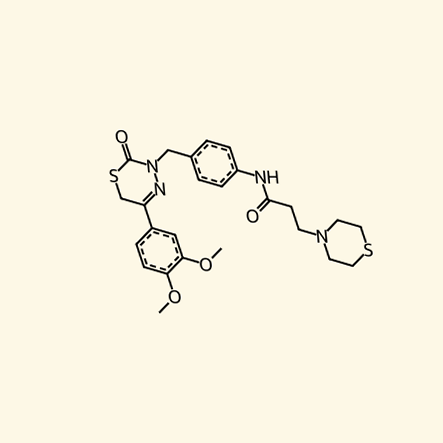 COc1ccc(C2=NN(Cc3ccc(NC(=O)CCN4CCSCC4)cc3)C(=O)SC2)cc1OC